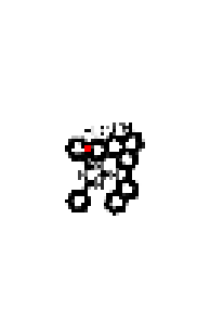 CC1(C)c2ccccc2-c2c3c1cccc3cc1c3ccc4ccccc4c3n(-c3nc(-c4ccccc4)nc(-c4ccccc4)n3)c21